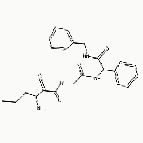 CCCC(N)C(=O)C(=O)NCC(=O)NC(C(=O)NCc1ccccc1)c1ccccc1